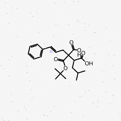 CC(C)CC(C(=O)O)C(C/C=C/c1ccccc1)(C(=O)O)C(=O)OC(C)(C)C